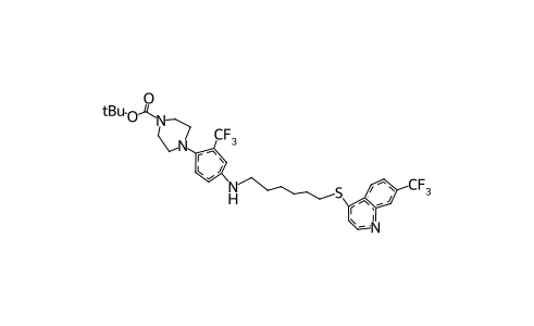 CC(C)(C)OC(=O)N1CCN(c2ccc(NCCCCCCSc3ccnc4cc(C(F)(F)F)ccc34)cc2C(F)(F)F)CC1